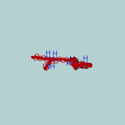 C=CCOC(=O)CCOCCOCCC(=O)NCCN(CCNC(=O)CCOCCOCCOCCC(=O)OC(=O)N1[C@@H]2CC[C@@H](C2)[C@H]1C(=O)N[C@H](C(=O)N(C)[C@@H]([C@@H](C)CC)[C@@H](CC(=O)N1CCC[C@H]1[C@H](OC)[C@@H](C)C(=O)N[C@@H](Cc1ccccc1)c1nccs1)OC)C(C)C)C(=O)CCOCCNC(=O)OC(C)(C)C